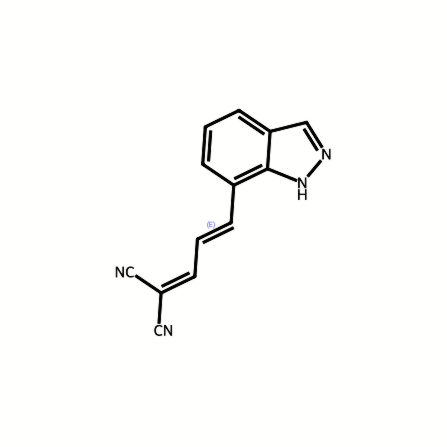 N#CC(C#N)=C/C=C/c1cccc2cn[nH]c12